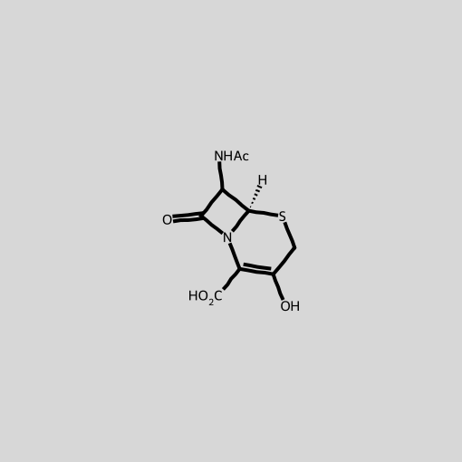 CC(=O)NC1C(=O)N2C(C(=O)O)=C(O)CS[C@H]12